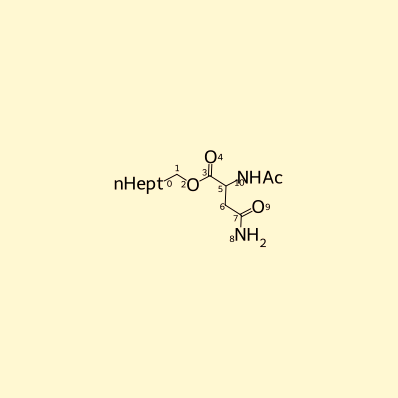 CCCCCCCCOC(=O)C(CC(N)=O)NC(C)=O